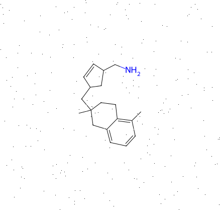 Cc1cccc2c1CCC(C)(CC1C=CC(CN)C1)C2